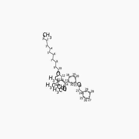 CCCCCCCCCCCOCC(=C(OC)c1cccc(OCc2ccccc2)c1)C(C)(C)C